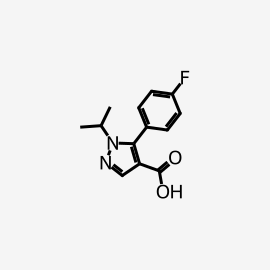 CC(C)n1ncc(C(=O)O)c1-c1ccc(F)cc1